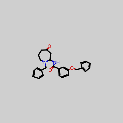 O=C1CCCN(Cc2ccccc2)C(NC(=O)c2cccc(OCc3ccccc3)c2)C1